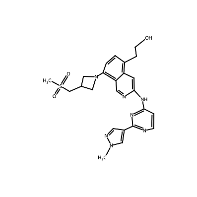 Cn1cc(-c2nccc(Nc3cc4c(CCO)ccc(N5CC(CS(C)(=O)=O)C5)c4cn3)n2)cn1